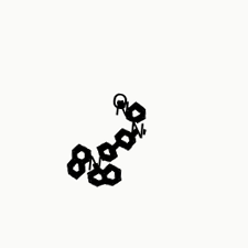 CN(c1ccc(-c2ccc(N(c3cccc4ccccc34)c3cccc4ccccc34)cc2)cc1)c1cccc(N=O)c1